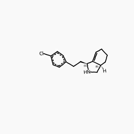 Clc1ccc(CC[C@@H]2NC[C@@H]3CCCC=C32)cc1